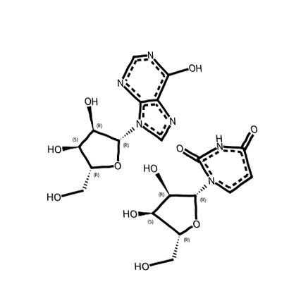 O=c1ccn([C@@H]2O[C@H](CO)[C@@H](O)[C@H]2O)c(=O)[nH]1.OC[C@H]1O[C@@H](n2cnc3c(O)ncnc32)[C@H](O)[C@@H]1O